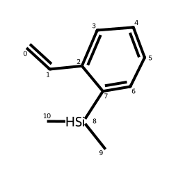 C=Cc1ccccc1[SiH](C)C